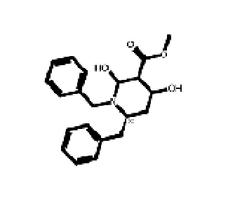 COC(=O)C1C(O)C[C@@H](Cc2ccccc2)N(Cc2ccccc2)C1O